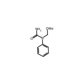 COCN(C(N)=O)c1ccccc1